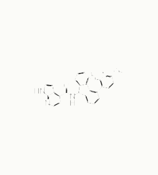 COc1ccc(-c2cccc3c2-c2ccccc2C3NC(=O)c2ccnc3[nH]ccc23)c(OC)n1